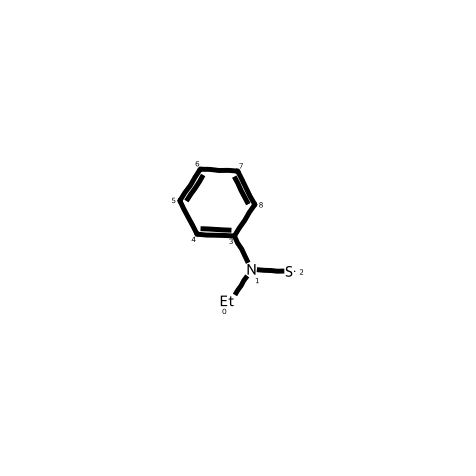 CCN([S])c1ccccc1